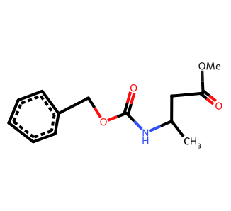 COC(=O)CC(C)NC(=O)OCc1ccccc1